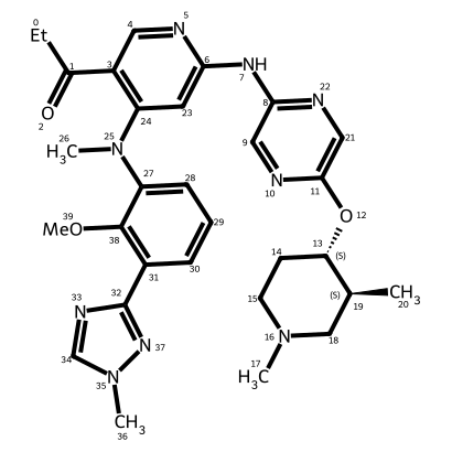 CCC(=O)c1cnc(Nc2cnc(O[C@H]3CCN(C)C[C@@H]3C)cn2)cc1N(C)c1cccc(-c2ncn(C)n2)c1OC